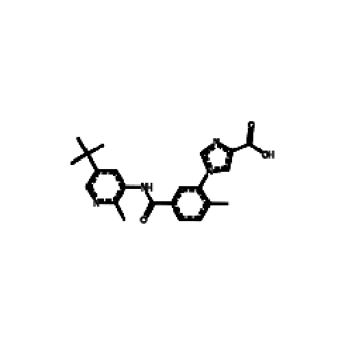 Cc1ccc(C(=O)Nc2cc(C(C)(C)C)cnc2C)cc1-n1cnc(C(=O)O)c1